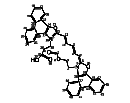 O=COCCN1\C(=C/C=C/C=C/c2oc3c4ccccc4c4ccccc4c3[n+]2CCC(=O)O)Oc2c1c1ccccc1c1ccccc21